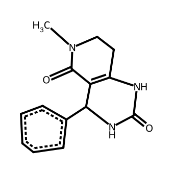 CN1CCC2=C(C1=O)C(c1ccccc1)NC(=O)N2